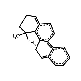 CC1(C)CCC=c2ccc3c(c21)CC=c1ccccc1=3